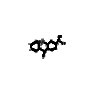 CCN(CC)c1ccc(C(=O)c2ccccc2)c(C(=O)O)c1